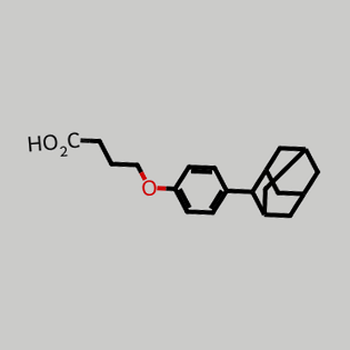 O=C(O)CCCOc1ccc(C2C3CC4CC(C3)CC2C4)cc1